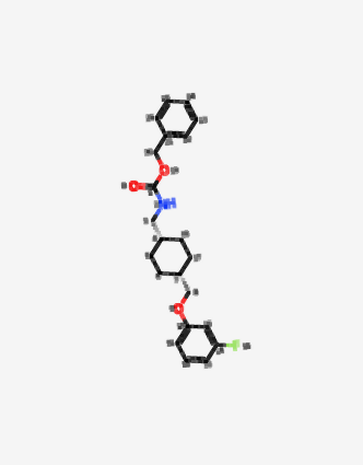 O=C(NC[C@H]1CC[C@@H](COc2cccc(F)c2)CC1)OCc1ccccc1